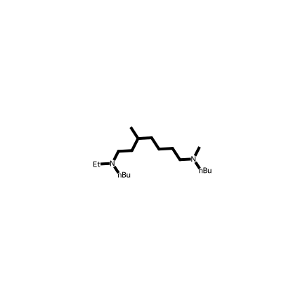 CCCCN(C)CCCCC(C)CCN(CC)CCCC